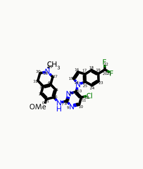 COc1cc2c(cc1Nc1ncc(Cl)c(-n3ccc4cc(C(F)F)ccc43)n1)CN(C)CC2